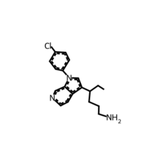 CCC(CCCN)c1cn(-c2ccc(Cl)cc2)c2cnccc12